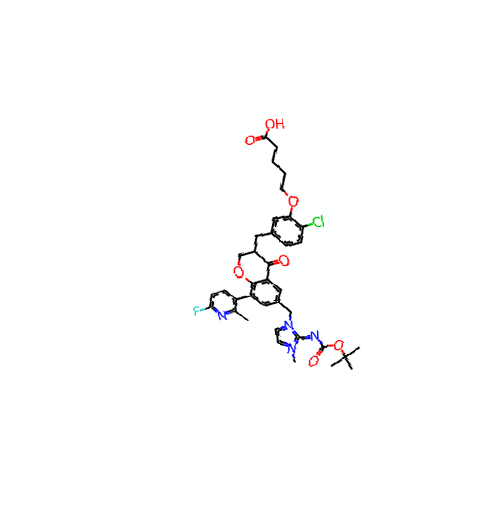 Cc1nc(F)ccc1-c1cc(Cn2ccn(C)c2=NC(=O)OC(C)(C)C)cc2c1OCC(Cc1ccc(Cl)c(OCCCCC(=O)O)c1)C2=O